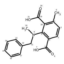 Cc1ccc(C(=O)O)c(N(C)Cc2ccccc2)c1C(=O)O